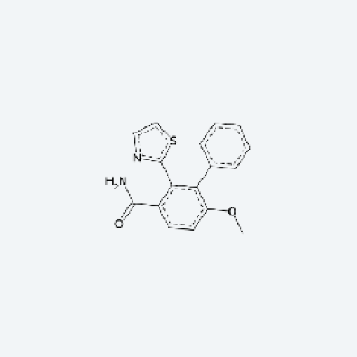 COc1ccc(C(N)=O)c(-c2nccs2)c1-c1ccccc1